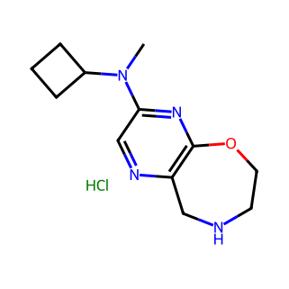 CN(c1cnc2c(n1)OCCNC2)C1CCC1.Cl